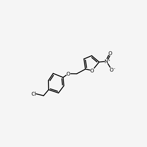 O=[N+]([O-])c1ccc(COc2ccc(CCl)cc2)o1